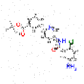 CC(C)(C)OC(=O)c1cccc(-c2ccc(NC(=O)c3cc(N)ccc3Cl)cn2)c1